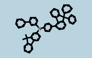 CC1(C)c2ccccc2-c2ccc(N(c3ccc(-c4cccc5c4-c4ccccc4C5(c4ccccc4)c4ccccc4)cc3)c3cccc(-c4ccccc4)c3)cc21